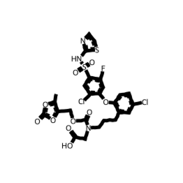 Cc1oc(=O)oc1COC(=O)N(CCCc1cc(Cl)ccc1Oc1cc(F)c(S(=O)(=O)Nc2nccs2)cc1Cl)CC(=O)O